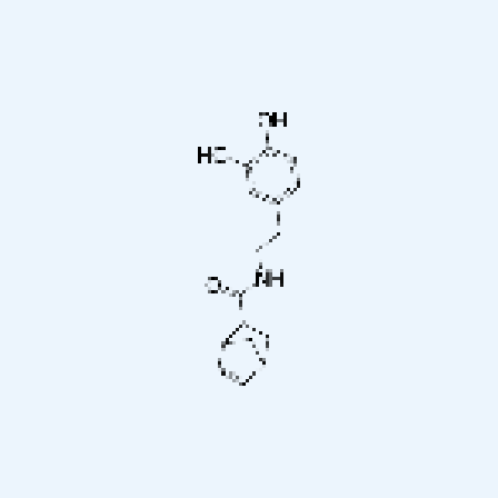 O=C(NCCc1ccc(O)c(O)c1)C1CC2C=CC1C2